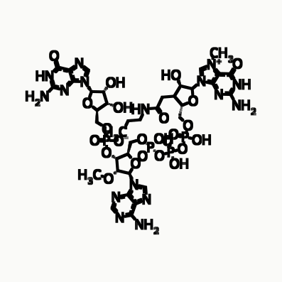 CCCNC(=O)CC1[C@@H](O)C(n2c[n+](C)c3c(=O)[nH]c(N)nc32)O[C@@H]1COP(=O)(O)OP(=O)(O)OP(=O)(O)OC[C@H]1O[C@@H](n2cnc3c(N)ncnc32)[C@H](OC)[C@@H]1OP(=O)([O-])OC[C@H]1O[C@@H](n2cnc3c(=O)[nH]c(N)nc32)[C@H](O)[C@@H]1O